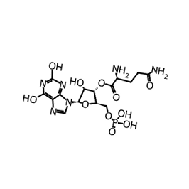 NC(=O)CC[C@H](N)C(=O)O[C@H]1[C@@H](O)[C@H](n2cnc3c(O)nc(O)nc32)O[C@@H]1COP(=O)(O)O